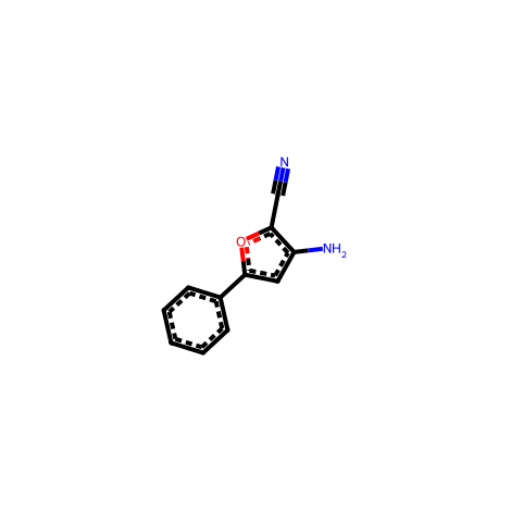 N#Cc1oc(-c2ccccc2)cc1N